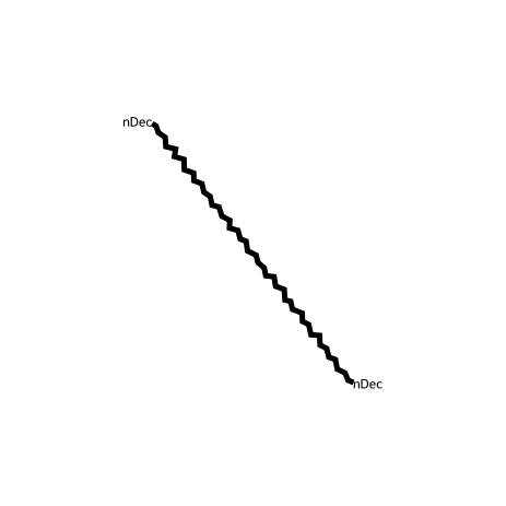 CCCCCCCCCCCCCCCCCCCCCCCCCCCCCCCCCCCCCCCCCCCCCCCCCCCCCCCCCCCCCCCC